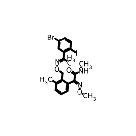 CNC(=O)/C(=N/OC)c1cccc(C)c1CO/N=C(\C)c1cc(Br)ccc1I